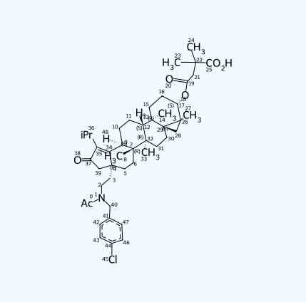 CC(=O)N(CC[C@@]12CC[C@]3(C)[C@H](CC[C@@H]4[C@@]5(C)CC[C@H](OC(=O)CC(C)(C)C(=O)O)C6(C)C[C@]65CC[C@]43C)C1=C(C(C)C)C(=O)C2)Cc1ccc(Cl)cc1